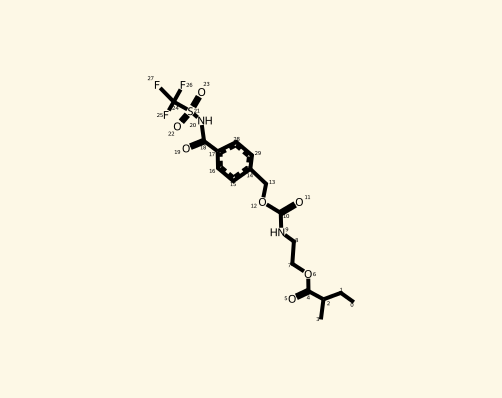 CCC(C)C(=O)OCCNC(=O)OCc1ccc(C(=O)NS(=O)(=O)C(F)(F)F)cc1